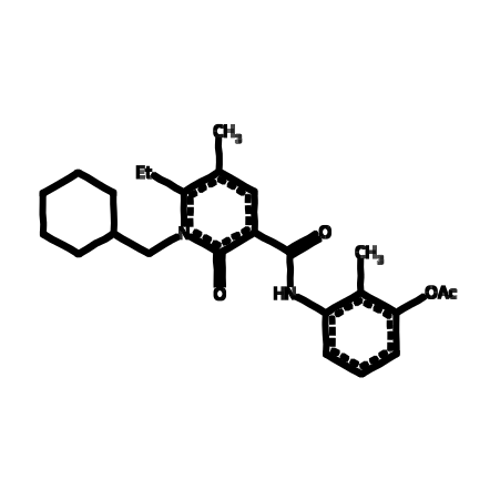 CCc1c(C)cc(C(=O)Nc2cccc(OC(C)=O)c2C)c(=O)n1CC1CCCCC1